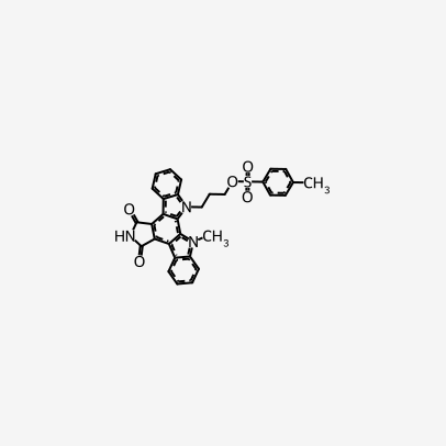 Cc1ccc(S(=O)(=O)OCCCn2c3ccccc3c3c4c(c5c6ccccc6n(C)c5c32)C(=O)NC4=O)cc1